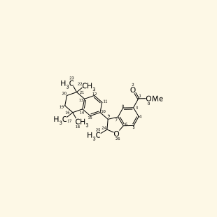 COC(=O)c1ccc2c(c1)C(c1ccc3c(c1)C(C)(C)CCC3(C)C)C(C)O2